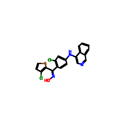 ON=C(c1ccc(Nc2cncc3ccccc23)cc1Cl)c1sccc1Cl